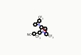 N#Cc1ccc(-c2ccc(-n3c4ccccc4c4cc(C(F)(F)F)ccc43)c(-c3cc(-n4c5ccccc5c5cc(C(F)(F)F)ccc54)ccc3C#N)c2)c(C(F)(F)F)c1